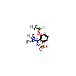 CC(F)Oc1cccc2c1C(N(C)C(C)C)=NS2(=O)=O